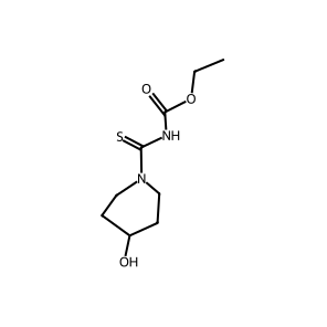 CCOC(=O)NC(=S)N1CCC(O)CC1